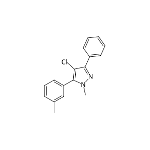 Cc1cccc(-c2c(Cl)c(-c3ccccc3)nn2C)c1